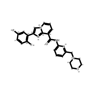 O=C(Nc1cccc(CN2CCOCC2)n1)c1cccn2cc(-c3cc(F)ccc3F)nc12